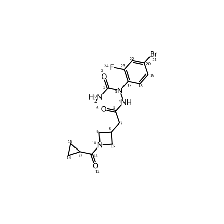 NC(=O)N(NC(=O)CC1CN(C(=O)C2CC2)C1)c1ccc(Br)cc1F